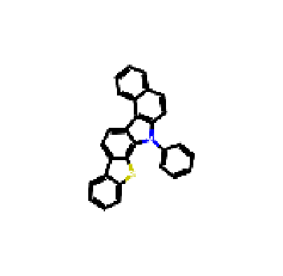 c1ccc(-n2c3ccc4ccccc4c3c3ccc4c5ccccc5sc4c32)cc1